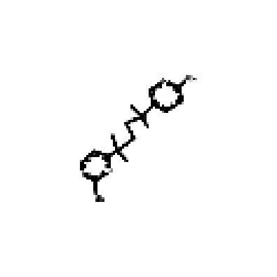 CC(C)(C)c1ccc(C(C)(C)CCC(C)(C)c2ccnc(C(C)(C)C)n2)cn1